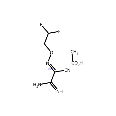 CC(=O)O.N#C/C(=N\OCC(F)F)C(=N)N